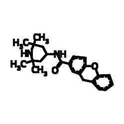 CC1(C)CC(NC(=O)c2ccc3c(c2)Cc2ccccc2O3)CC(C)(C)N1